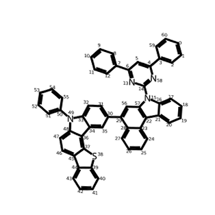 c1ccc(-c2cc(-c3ccccc3)nc(-n3c4ccccc4c4c5ccccc5c(-c5ccc6c(c5)c5c7sc8ccccc8c7ccc5n6-c5ccccc5)cc43)n2)cc1